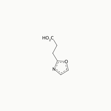 O=C(O)CCc1ncco1